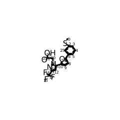 CSc1cccc(-c2ccc(-c3cc(C(F)(F)F)nn3CC(=O)O)o2)c1